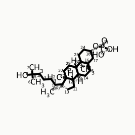 C[C@H](CCCC(C)(C)O)[C@H]1CC[C@H]2[C@@H]3CC=C4C[C@@H](OP(=O)(O)O)CC[C@]4(C)[C@H]3CC[C@]12C